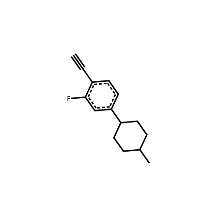 C#Cc1ccc(C2CCC(C)CC2)cc1F